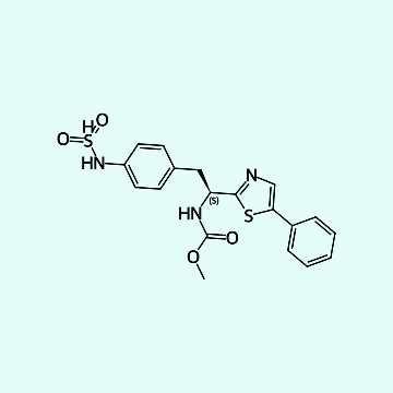 COC(=O)N[C@@H](Cc1ccc(N[SH](=O)=O)cc1)c1ncc(-c2ccccc2)s1